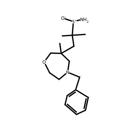 CC1(CC(C)(C)[S+](N)[O-])COCCN(Cc2ccccc2)C1